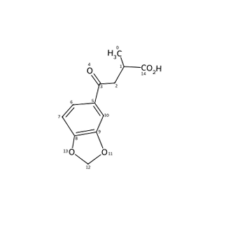 CC(CC(=O)c1ccc2c(c1)OCO2)C(=O)O